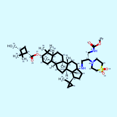 CC(C)OC(=O)NC[C@@H](CN[C@]12CC[C@@H](C3(C)CC3)[C@@H]1[C@H]1CC[C@@H]3[C@@]4(C)CC[C@H](OC(=O)[C@H]5C[C@@H](C(=O)O)C5(C)C)C(C)(C)[C@@H]4CC[C@@]3(C)[C@]1(C)CC2)N1CCS(=O)(=O)CC1